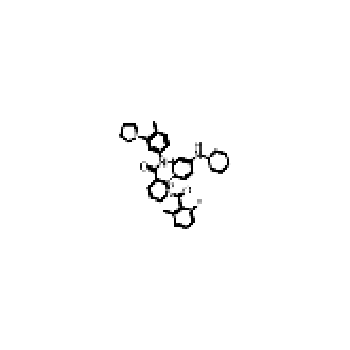 Cc1ccc(NC(=O)C2CCCN(C(=O)c3c(C)cccc3F)[C@H]2C2C=CC(NC3CCCCC3)=CC2)cc1N1CCCC1